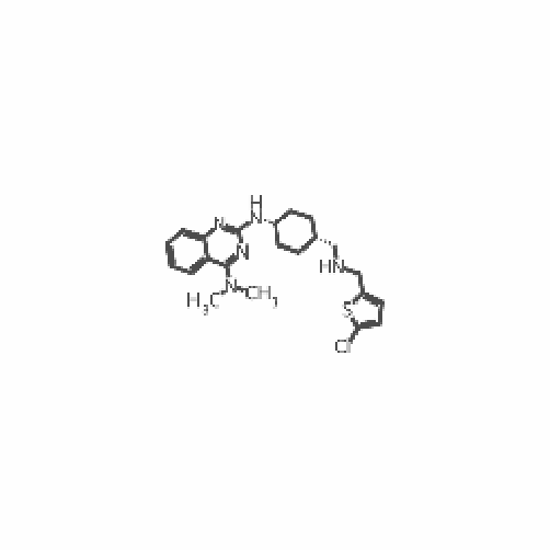 CN(C)c1nc(N[C@H]2CC[C@@H](CNCc3ccc(Cl)s3)CC2)nc2ccccc12